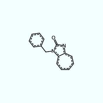 O=c1nc2cccccc-2n1Cc1ccccc1